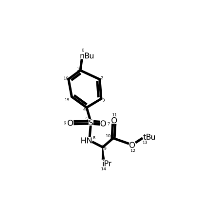 CCCCc1ccc(S(=O)(=O)N[C@@H](C(=O)OC(C)(C)C)C(C)C)cc1